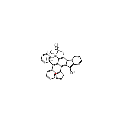 C[Si](C)(C)c1cc2c(c(C3=CC=CC3)c1=C(c1ccccc1)c1ccccc1)[C]([Zr+2])=c1ccccc1=2.[Cl-].[Cl-]